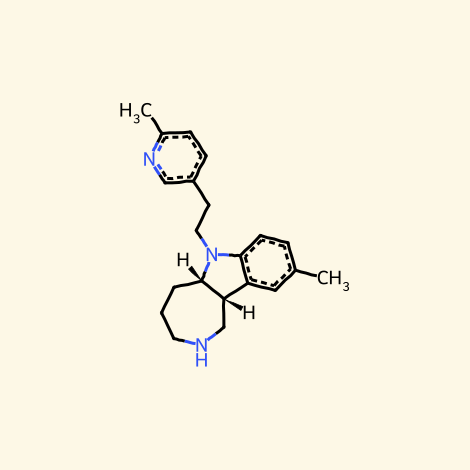 Cc1ccc2c(c1)[C@@H]1CNCCC[C@@H]1N2CCc1ccc(C)nc1